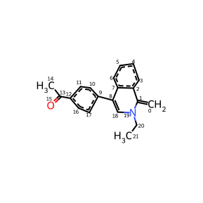 C=C1c2ccccc2C(c2ccc(C(C)=O)cc2)=CN1CC